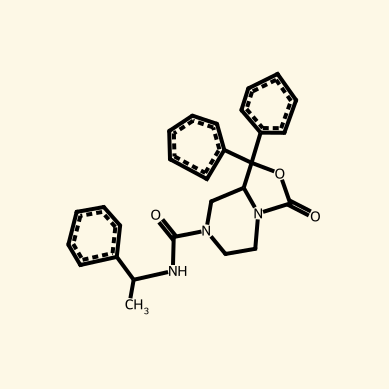 CC(NC(=O)N1CCN2C(=O)OC(c3ccccc3)(c3ccccc3)C2C1)c1ccccc1